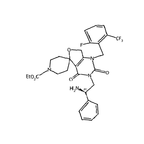 CCOC(=O)N1CCC2(CC1)OCc1c2c(=O)n(C[C@H](N)c2ccccc2)c(=O)n1Cc1c(F)cccc1C(F)(F)F